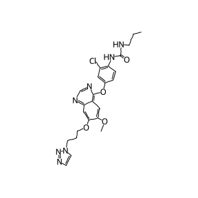 CCCNC(=O)Nc1ccc(Oc2ncnc3cc(OCCCn4ccnn4)c(OC)cc23)cc1Cl